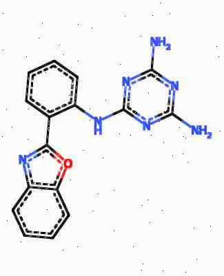 Nc1nc(N)nc(Nc2ccccc2-c2nc3ccccc3o2)n1